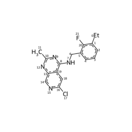 CCc1cccc(CNc2nc(C)nc3cnc(Cl)cc23)c1F